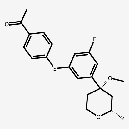 CO[C@@]1(c2cc(F)cc(Sc3ccc(C(C)=O)cc3)c2)CCO[C@@H](C)C1